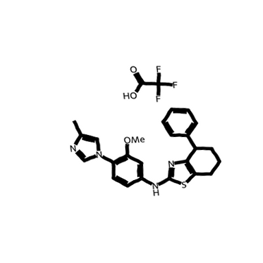 COc1cc(Nc2nc3c(s2)CCCC3c2ccccc2)ccc1-n1cnc(C)c1.O=C(O)C(F)(F)F